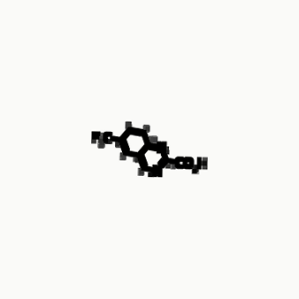 O=C(O)c1ncc2cc(C(F)(F)F)ccc2n1